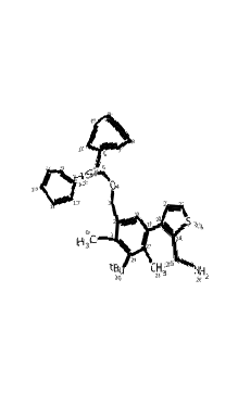 Cc1c(CO[SiH](c2ccccc2)c2ccccc2)cc(-c2ccsc2CN)c(C)c1C(C)(C)C